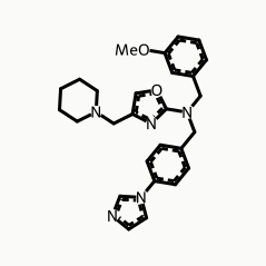 COc1cccc(CN(Cc2ccc(-n3ccnc3)cc2)c2nc(CN3CCCCC3)co2)c1